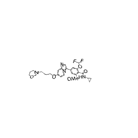 COc1cc(-c2cnc3cc(OCCCN4CCCOC4)ccn23)cc(OC(F)F)c1C(=O)NC1CC1